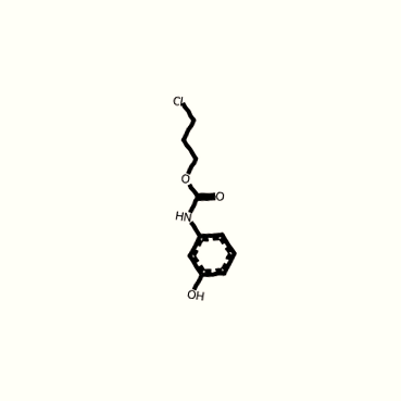 O=C(Nc1cccc(O)c1)OCCCCl